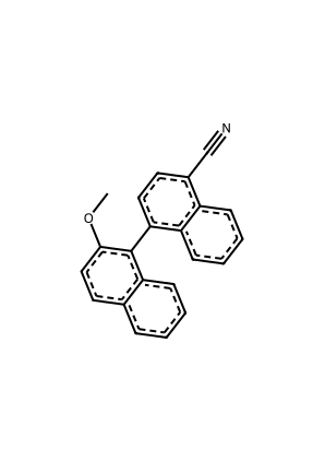 COc1ccc2ccccc2c1-c1ccc(C#N)c2ccccc12